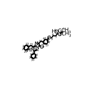 CC(C)(C)OC(=O)CCCOc1cccc(Cc2nc3c(Cc4ccccc4)[nH]c(-c4ccccc4)cn-3c2=O)c1